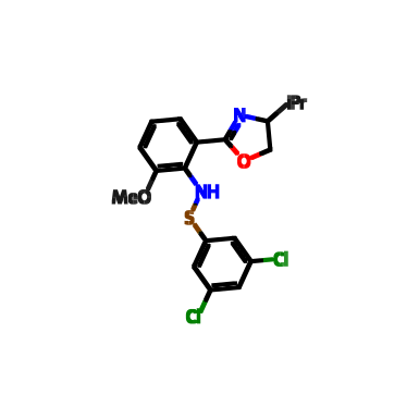 COc1cccc(C2=NC(C(C)C)CO2)c1NSc1cc(Cl)cc(Cl)c1